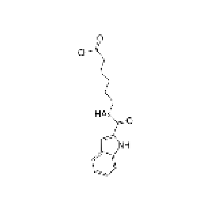 O=C(Cl)CCCCC[AsH]C(=O)c1cc2ccccc2[nH]1